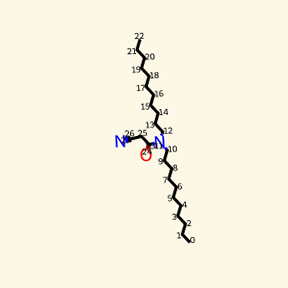 CCCCCCCCCCCN(CCCCCCCCCCC)C(=O)CC#N